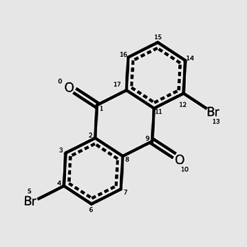 O=C1c2cc(Br)ccc2C(=O)c2c(Br)cccc21